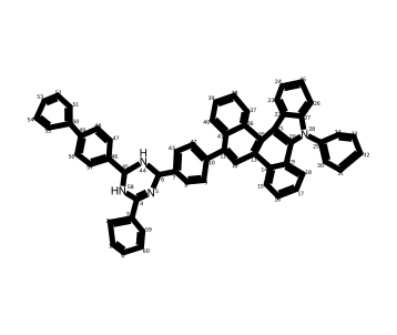 c1ccc(C2=NC(c3ccc(-c4cc5c6ccccc6c6c(c7ccccc7n6-c6ccccc6)c5c5ccccc45)cc3)NC(c3ccc(-c4ccccc4)cc3)N2)cc1